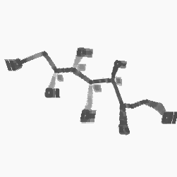 O=C(CO)[C@H](O)[C@H](O)[C@@H](O)[C@H](O)CO